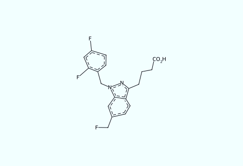 O=C(O)CCCc1nn(Cc2ccc(F)cc2F)c2cc(CF)ccc12